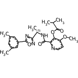 COc1ccnc(C(=O)N[C@@H](C)c2noc(-c3cc(C)cc(C)c3)n2)c1OC(=O)C(C)C